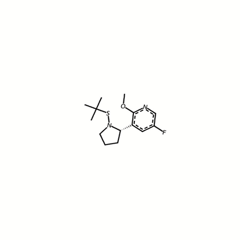 COc1ncc(F)cc1[C@@H]1CCCN1SC(C)(C)C